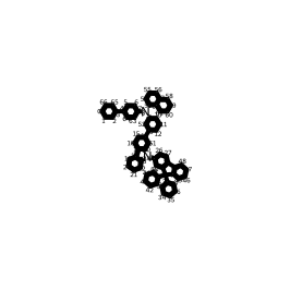 c1ccc(-c2ccc(N(c3cccc(-c4ccc5c6ccccc6n(-c6ccc7c(c6)C(c6ccccc6)(c6ccccc6)c6ccccc6-7)c5c4)c3)c3cccc4ccccc34)cc2)cc1